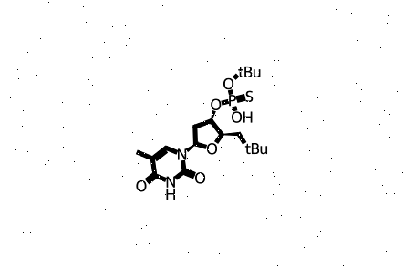 Cc1cn([C@H]2C[C@@H](OP(O)(=S)OC(C)(C)C)[C@@H](CC(C)(C)C)O2)c(=O)[nH]c1=O